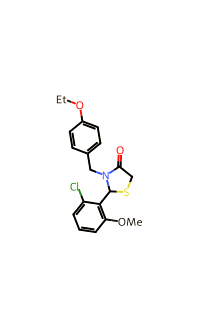 CCOc1ccc(CN2C(=O)CSC2c2c(Cl)cccc2OC)cc1